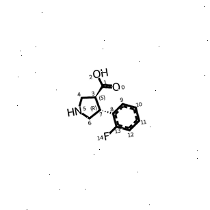 O=C(O)[C@@H]1CNC[C@H]1c1ccccc1F